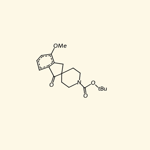 COc1cccc2c1CC1(CCN(C(=O)OC(C)(C)C)CC1)C2=O